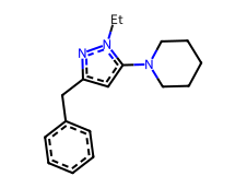 CCn1nc(Cc2ccccc2)cc1N1CCCCC1